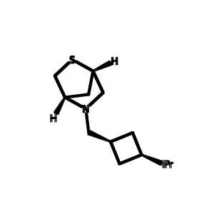 CC(C)[C@H]1C[C@@H](CN2C[C@@H]3C[C@H]2CS3)C1